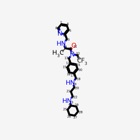 C[C@H](NCc1ccccn1)C(=O)N(Cc1ccc(CNCCCNC2CCCCC2)cc1)CC(F)(F)F